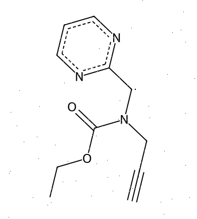 C#CCN([CH]c1ncccn1)C(=O)OCC